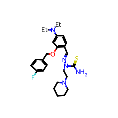 CCN(CC)c1ccc(C=NN(CCN2CCCCC2)C(N)=S)c(OCc2ccc(F)cc2)c1